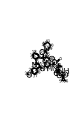 C=C[C@@H]1C[C@]1(NC(=O)[C@H]1C[C@@H](Oc2cc(-c3ccccc3)nc3cc(OC)ccc23)CN1C(=O)[C@H](CC(=O)N1CCCCC1)C(C)(C)C)C(=O)NS(=O)(=O)C1CC1